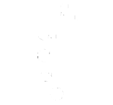 CN(C)CCCNC(=O)c1ccc(-c2nc(-c3ccccc3)cs2)cc1